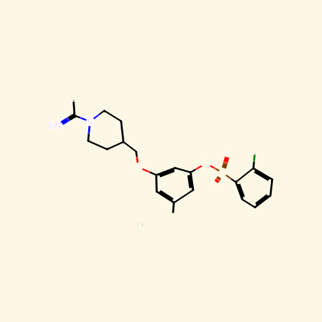 CC(=N)N1CCC(COc2cc(C)cc(OS(=O)(=O)c3ccccc3Cl)c2)CC1.Cl